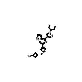 CCC(CC)n1cc(-c2nc(-c3cnn(C[C@H]4C[C@H](O)C4)c3)cn3nccc23)cn1